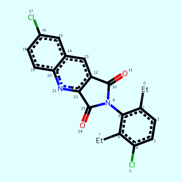 CCc1ccc(Cl)c(CC)c1N1C(=O)c2cc3cc(Cl)ccc3nc2C1=O